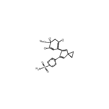 COC1(Cl)CC(Cl)=C(C2=CC3(C=C2c2ccc(S(N)(=O)=O)cc2)CC3)C=C1Cl